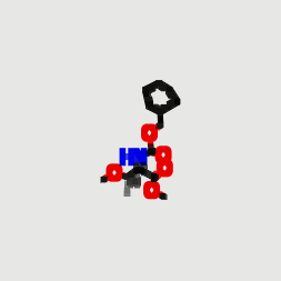 COC(=O)[C@@H](NC(=O)OCc1ccccc1)[C@H](C)OC